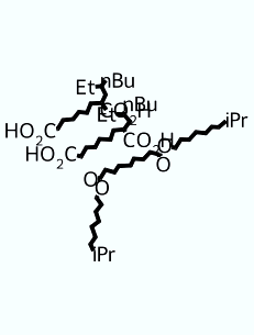 CC(C)CCCCCCCOC(=O)CCCCCCCC(=O)OCCCCCCCC(C)C.CCCCC(CC)CC(CCCCCCC(=O)O)C(=O)O.CCCCC(CC)CC(CCCCCCC(=O)O)C(=O)O